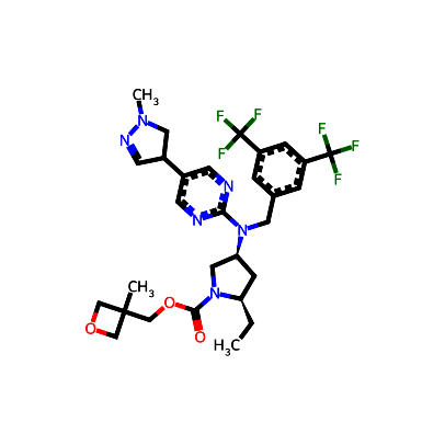 CC[C@@H]1C[C@H](N(Cc2cc(C(F)(F)F)cc(C(F)(F)F)c2)c2ncc(C3C=NN(C)C3)cn2)CN1C(=O)OCC1(C)COC1